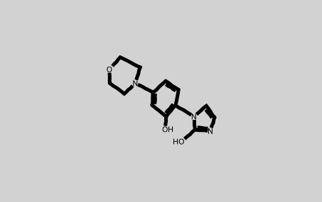 Oc1cc(N2CCOCC2)ccc1-n1ccnc1O